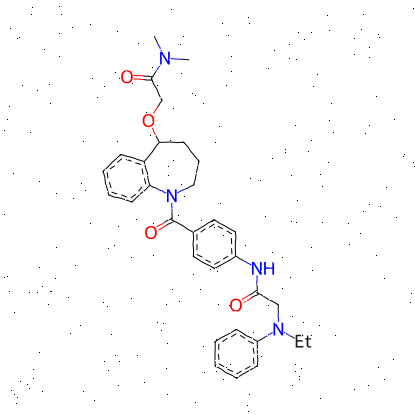 CCN(CC(=O)Nc1ccc(C(=O)N2CCCC(OCC(=O)N(C)C)c3ccccc32)cc1)c1ccccc1